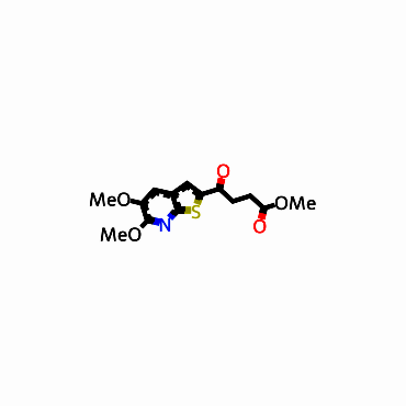 COC(=O)CCC(=O)c1cc2cc(OC)c(OC)nc2s1